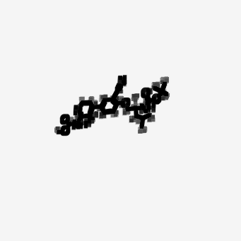 COC(=O)Nc1nccc(-c2ccc(OC[C@](C)(CC(C)C)NC(=O)OC(C)(C)C)c(C#N)c2)c1F